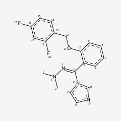 CN(C)N=C(c1ccccc1OCc1ccc(F)cc1F)n1ccnc1